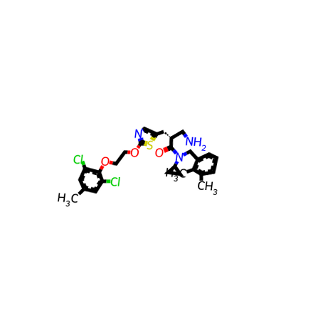 Cc1cc(Cl)c(OCCOc2ncc(C[C@H](CN)C(=O)N(Cc3cccc(C)c3C)C3CC3)s2)c(Cl)c1